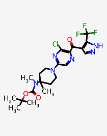 CN(C(=O)OC(C)(C)C)C1(C)CCN(c2cnc(C(=O)c3cn[nH]c3C(F)(F)F)c(Cl)n2)CC1